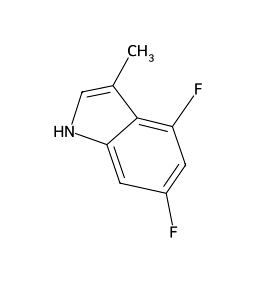 Cc1c[nH]c2cc(F)cc(F)c12